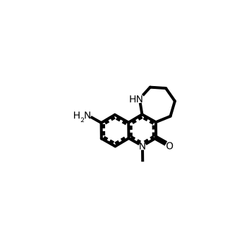 Cn1c(=O)c2c(c3cc(N)ccc31)NCCCC2